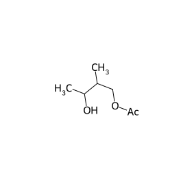 CC(=O)OCC(C)C(C)O